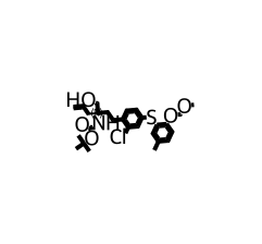 C=CC[C@@](CO)(CCc1ccc(Sc2cc(C)ccc2OCOC)cc1Cl)NC(=O)OC(C)(C)C